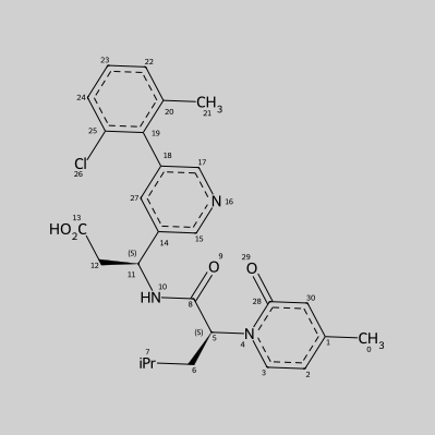 Cc1ccn([C@@H](CC(C)C)C(=O)N[C@@H](CC(=O)O)c2cncc(-c3c(C)cccc3Cl)c2)c(=O)c1